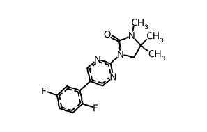 CN1C(=O)N(c2ncc(-c3cc(F)ccc3F)cn2)CC1(C)C